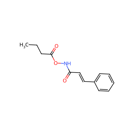 CCCC(=O)ONC(=O)/C=C/c1ccccc1